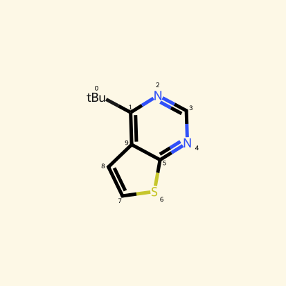 CC(C)(C)c1ncnc2sccc12